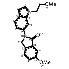 COCCn1ccc2ccc(N3Cc4ccc(OC)cc4C3=O)cc21